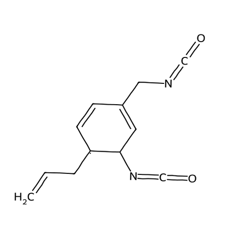 C=CC[C]1C=CC(CN=C=O)=CC1N=C=O